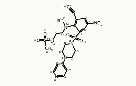 C#Cc1cc([N+](=O)[O-])cc(S(=O)(=O)N2CCN(c3ccncc3)CC2)c1N(CCC)CCOS(C)(=O)=O